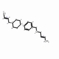 C/C=C/COCc1ccc([C@H]2CC[C@H](C/C=C/CC)CC2)cc1